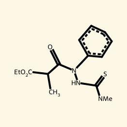 CCOC(=O)C(C)C(=O)N(NC(=S)NC)c1ccccc1